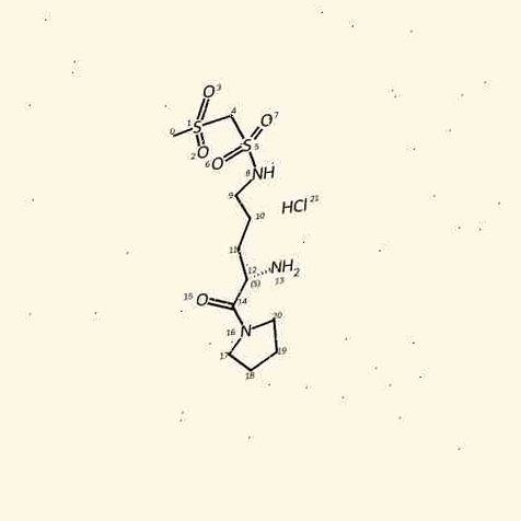 CS(=O)(=O)CS(=O)(=O)NCCC[C@H](N)C(=O)N1CCCC1.Cl